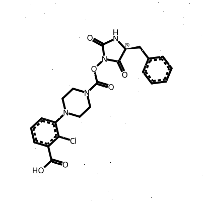 O=C(O)c1cccc(N2CCN(C(=O)ON3C(=O)N[C@@H](Cc4ccccc4)C3=O)CC2)c1Cl